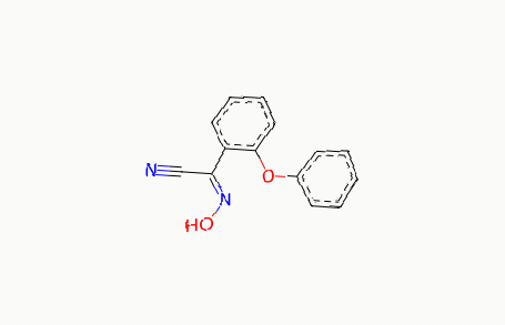 N#CC(=NO)c1ccccc1Oc1ccccc1